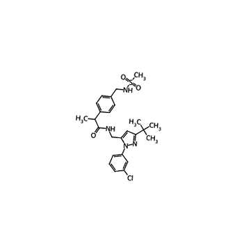 CC(C(=O)NCc1cc(C(C)(C)C)nn1-c1cccc(Cl)c1)c1ccc(CNS(C)(=O)=O)cc1